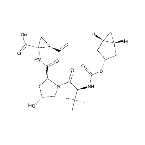 C=C[C@@H]1C[C@]1(NC(=O)[C@@H]1C[C@@H](O)CN1C(=O)[C@@H](NC(=O)OC1C[C@@H]2C[C@@H]2C1)C(C)(C)C)C(=O)O